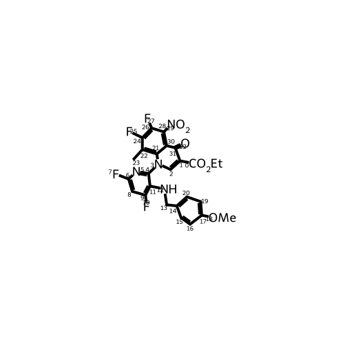 CCOC(=O)c1cn(-c2nc(F)cc(F)c2NCc2ccc(OC)cc2)c2c(C)c(F)c(F)c([N+](=O)[O-])c2c1=O